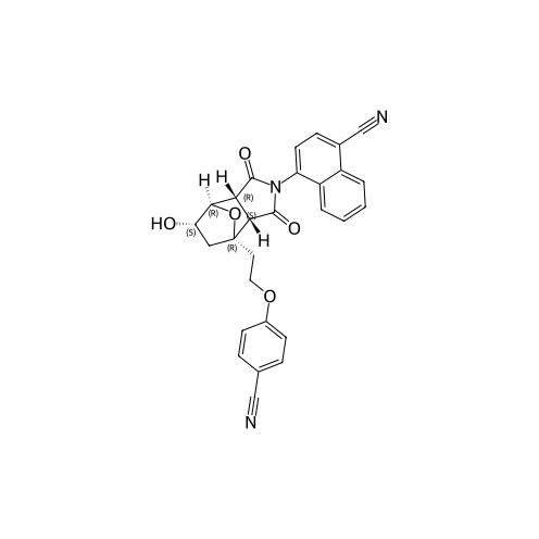 N#Cc1ccc(OCC[C@]23C[C@H](O)[C@H](O2)[C@@H]2C(=O)N(c4ccc(C#N)c5ccccc45)C(=O)[C@@H]23)cc1